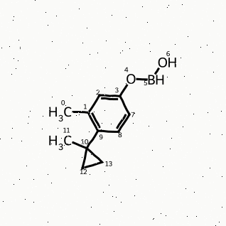 Cc1cc(OBO)ccc1C1(C)CC1